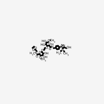 CCN(CC)c1c(CO)nnn1-c1ccc(CNC(=O)C2O[C@@H](OC)[C@@H](O)[C@@H](O)[C@@H]2OCCO[C@@H]2OC(C(=O)N(C)CC3OCCO3)[C@@H](OC)[C@H](O)[C@@H]2O)cc1